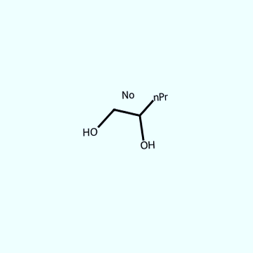 CCCC(O)CO.[No]